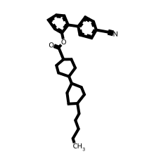 CCCCCC1CCC(C2CCC(C(=O)Oc3ccccc3-c3ccc(C#N)cc3)CC2)CC1